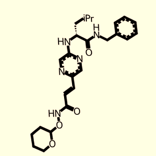 CC(C)C[C@@H](Nc1cnc(/C=C/C(=O)NOC2CCCCO2)cn1)C(=O)NCc1ccccc1